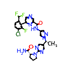 C[C@H](c1cnc(N2CCC[C@@H]2C(N)=O)nc1)n1cc(NC(=O)c2cncc(-c3c(C(F)F)ccc(Cl)c3F)n2)cn1